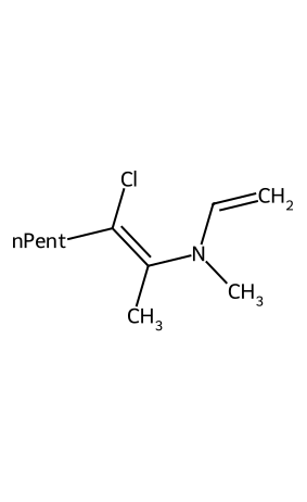 C=CN(C)/C(C)=C(\Cl)CCCCC